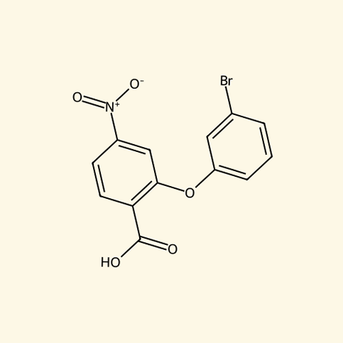 O=C(O)c1ccc([N+](=O)[O-])cc1Oc1cccc(Br)c1